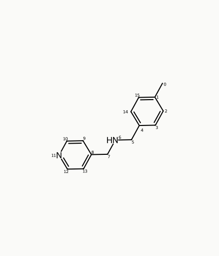 Cc1ccc(CNCc2ccncc2)cc1